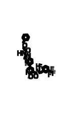 COc1ncc(-c2ccc3nc(NC(=O)COCc4ccccc4)cn3n2)cc1C(=O)NCc1cc(C(F)(F)F)ccc1F